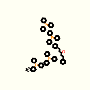 O=C(C=Cc1ccccc1)C=Cc1ccccc1.[Pd].[Pd].[Pd].c1ccc(P(c2ccccc2)c2ccccc2)cc1.c1ccc(P(c2ccccc2)c2ccccc2)cc1.c1ccc(P(c2ccccc2)c2ccccc2)cc1.c1ccc(P(c2ccccc2)c2ccccc2)cc1